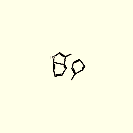 Cc1c[nH]c2ccccc12.[CH2]c1ccccc1